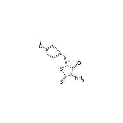 COc1ccc(/C=C2\SC(=S)N(N)C2=O)cc1